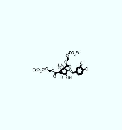 CCOC(=O)OCOC(=O)C1[C@@H]2[C@H](O)[C@@H](OCc3ccc(Cl)c(Cl)c3)[C@@](N)(C(=O)OCOC(=O)OCC)[C@H]12